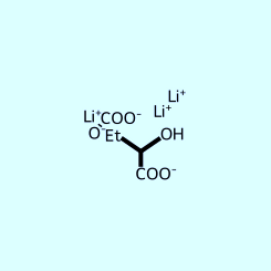 CCC(O)C(=O)[O-].O=C([O-])[O-].[Li+].[Li+].[Li+]